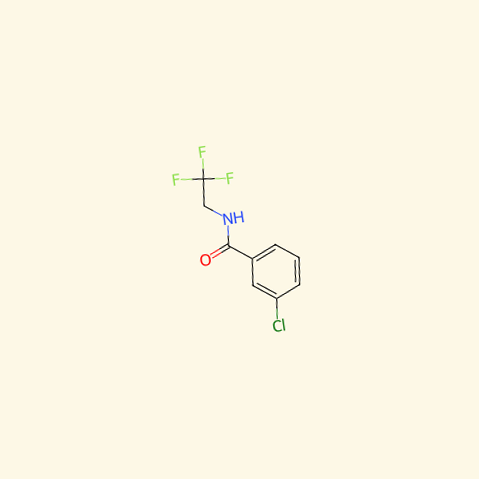 O=C(NCC(F)(F)F)c1cccc(Cl)c1